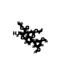 CCOC(=O)CC1C(C(=O)OCC)=C(N)Oc2ccc(-c3cc(OC)cc(OC)c3)cc21